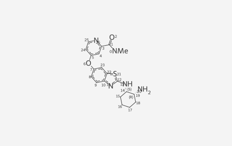 CNC(=O)c1cc(Oc2ccc3nc(N[C@H]4CCCC[C@H]4N)sc3c2)ccn1